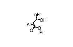 CCCC(O)CC(=O)OCC.[AlH3]